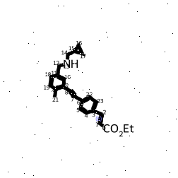 CCOC(=O)/C=C/c1ccc(C#Cc2cc(CNCC3CC3)ccc2C)cc1